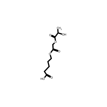 CC(O)C(=O)OCC(=O)OCCCCC(=O)O